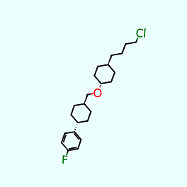 Fc1ccc([C@H]2CC[C@H](CO[C@H]3CC[C@H](CCCCCl)CC3)CC2)cc1